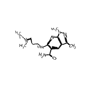 Cc1nn(C)c2nc(NCCCN(C)C)c(C(N)=O)cc12